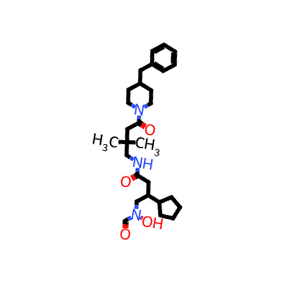 CC(C)(CNC(=O)CC(CN(O)C=O)C1CCCC1)CC(=O)N1CCC(Cc2ccccc2)CC1